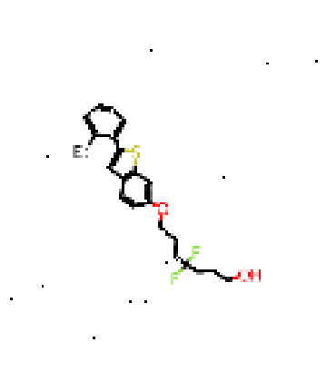 CCc1ccccc1-c1cc2ccc(OCCCC(F)(F)CCCO)cc2s1